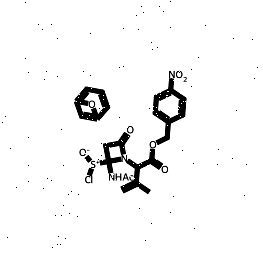 C=C(C)C(C(=O)OCc1ccc([N+](=O)[O-])cc1)N1C(=O)CC1(NC(C)=O)[S+]([O-])Cl.c1cc2cc(c1)O2